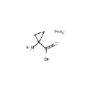 NC1(C(=O)O)CC1.[PbH2]